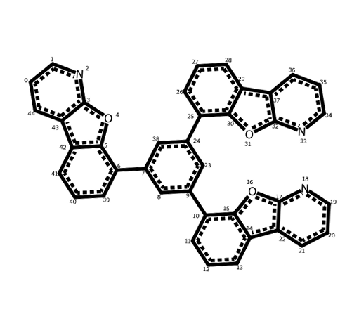 c1cnc2oc3c(-c4cc(-c5cccc6c5oc5ncccc56)cc(-c5cccc6c5oc5ncccc56)c4)cccc3c2c1